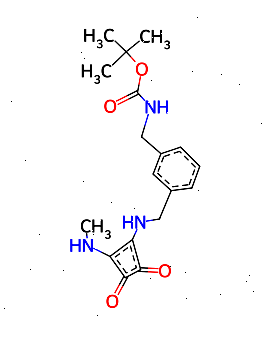 CNc1c(NCc2cccc(CNC(=O)OC(C)(C)C)c2)c(=O)c1=O